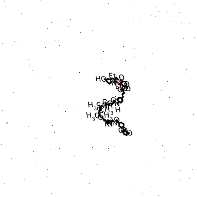 CCc1c2c(nc3ccc(O)cc13)-c1cc3c(c(=O)n1C2)COC(=O)[C@@]3(CC)OC(=O)/C=C/Cc1ccc(NC(=O)COCC(=O)NCC(C)(C)OCCC(C)(C)OCCn2cc(CNC(=O)C3CCC(CN4C(=O)C=CC4=O)CC3)nn2)cc1